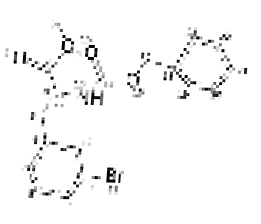 COC(=O)[C@@H](Cc1cccc(Br)c1)NC(=O)OCc1ccccc1